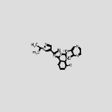 CC(C)n1cc(-c2nc3c4cccc(Cl)c4nc(Nc4cnccnc4=O)n3n2)cn1